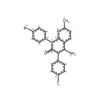 Cc1ccc2c(N)c(-c3ccc(F)cc3)c(=O)n(-c3ccc(Br)cc3)c2n1